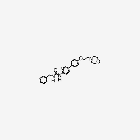 O=C(NCc1ccccc1)Nc1ccc(-c2ccc(OCCN3CCOCC3)cc2)cn1